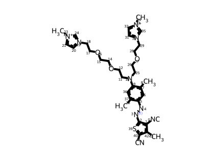 [C-]#[N+]c1c(/N=N/c2cc(C)c(N(CCOCCOCCn3cc[n+](C)c3)CCOCCn3cc[n+](C)c3)cc2C)sc(C#N)c1C